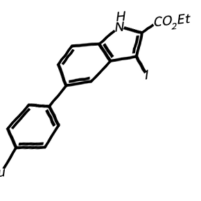 CCOC(=O)c1[nH]c2ccc(-c3ccc(C(C)(C)C)cc3)cc2c1I